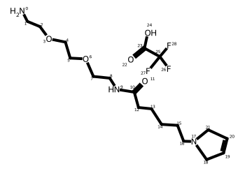 NCCOCCOCCNC(=O)CCCCCN1CC=CC1.O=C(O)C(F)(F)F